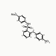 COc1ccc(NS(=O)(=O)c2ccccc2Sc2ccc([N+](=O)[O-])cc2)cc1